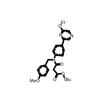 CCOc1cncc(-c2ccc(N(Cc3ccc(OC)cc3)C(=O)CC(=O)OC(C)(C)C)cc2)n1